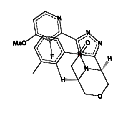 COc1ccnc(-c2nnc3n2C[C@@H]2COC[C@H]3N2C(=O)c2cccc(C)c2C)c1F